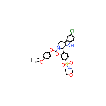 COc1ccc(OC(=O)N2CCc3c([nH]c4ccc(Cl)cc34)C2c2ccc(S(=O)(=O)N3CCOCC3)cc2)cc1